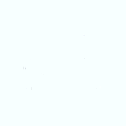 COCOc1cc(-c2nc(C)no2)ccc1C